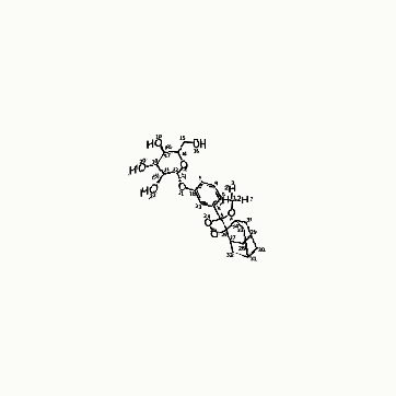 [2H]C([2H])([2H])OC1(c2cccc(O[C@@H]3OC(CO)[C@H](O)C(O)[C@@H]3O)c2)OOC12C1CC3CC(C1)CC2C3